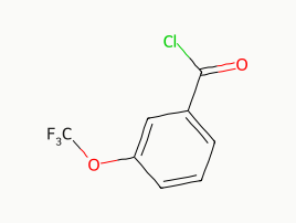 O=C(Cl)c1cccc(OC(F)(F)F)c1